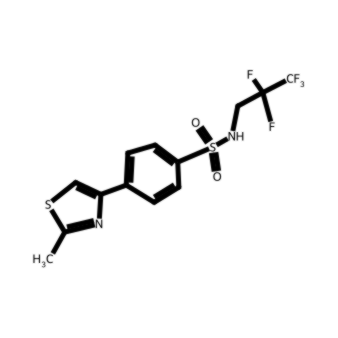 Cc1nc(-c2ccc(S(=O)(=O)NCC(F)(F)C(F)(F)F)cc2)cs1